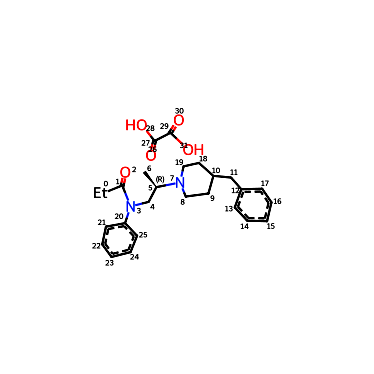 CCC(=O)N(C[C@@H](C)N1CCC(Cc2ccccc2)CC1)c1ccccc1.O=C(O)C(=O)O